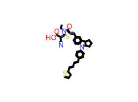 CCn1c(=O)/c(=C/c2ccc3c(c2)C2CCCC2N3c2ccc(C=CC=CC3CC=CS3)cc2)s/c1=C(\C#N)C(=O)O